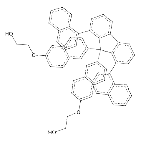 OCCOc1ccc2cc(C3(c4ccc5cc(OCCO)ccc5c4)c4c(cccc4-c4cccc5ccccc45)-c4cccc(-c5cccc6ccccc56)c43)ccc2c1